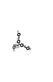 O=C(Nc1nc(=S)ss1)C(c1ccc(OCc2ccc(F)cc2)cc1)c1ccc(OCc2ccc(F)cc2)cc1